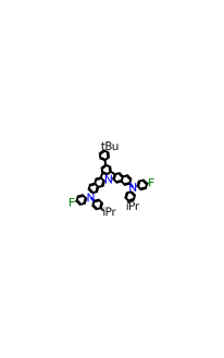 CC(C)c1ccc(N(c2ccc(F)cc2)c2ccc3cc4c5cc(-c6ccc(C(C)(C)C)cc6)cc6c7cc8ccc(N(c9ccc(F)cc9)c9ccc(C(C)C)cc9)cc8cc7n(c4cc3c2)c56)cc1